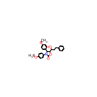 COc1ccc(C2C(C(O)CCc3ccccc3)OC(=O)N2c2ccc(OC)cc2)cc1